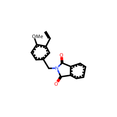 C=Cc1cc(CN2C(=O)c3ccccc3C2=O)ccc1OC